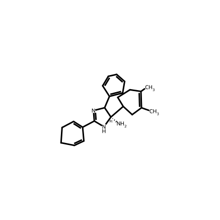 CC1=C(C)CC([C@@]2(N)NC(C3=CCCC=C3)=NC2c2ccccc2)CC1